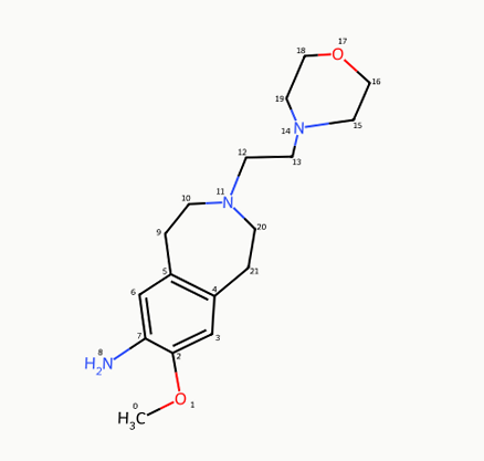 COc1cc2c(cc1N)CCN(CCN1CCOCC1)CC2